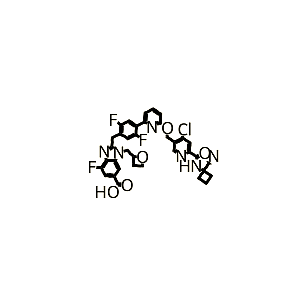 N#CC1(NC(=O)c2cc(Cl)c(COc3cccc(-c4cc(F)c(Cc5nc6c(F)cc(C(=O)O)cc6n5CC5CCO5)cc4F)n3)cn2)CCC1